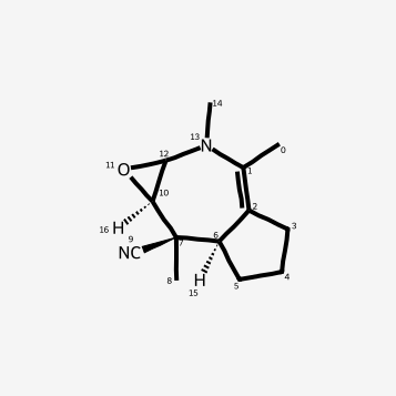 CC1=C2CCC[C@H]2[C@@](C)(C#N)[C@H]2OC2N1C